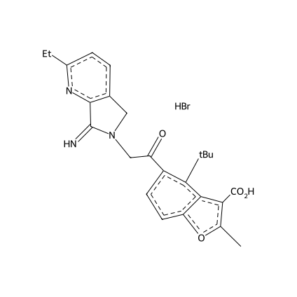 Br.CCc1ccc2c(n1)C(=N)N(CC(=O)c1ccc3oc(C)c(C(=O)O)c3c1C(C)(C)C)C2